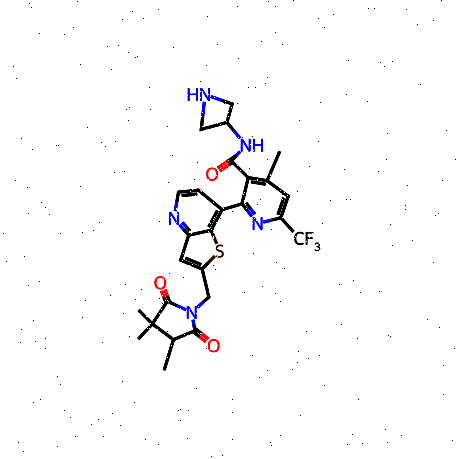 Cc1cc(C(F)(F)F)nc(-c2ccnc3cc(CN4C(=O)C(C)C(C)(C)C4=O)sc23)c1C(=O)NC1CNC1